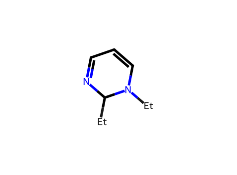 CCC1N=CC=CN1CC